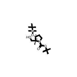 CC(C)(C)OC(=O)N1CC[C@@H](O[Si](C)(C)C(C)(C)C)[C@@]1(C)CO